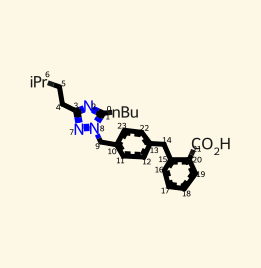 CCCCc1nc(CCC(C)C)nn1Cc1ccc(Cc2ccccc2C(=O)O)cc1